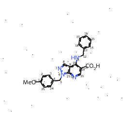 COc1ccc(Cn2ncc3c(NCc4ccccc4)c(C(=O)O)cnc32)cc1